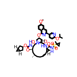 COc1ccc2c(O[C@@H]3C[C@H]4C(=O)N[C@]5(C(=O)NS(=O)(=O)C6(C)CC6)C[C@H]5/C=C\CC[C@H](C)C[C@@H](C)[C@H](NC(=O)O[C@@H]5C[C@@H]6C[C@@H]6C5)C(=O)N4C3)nc(-c3ccc(OC(C)C)nc3)cc2c1